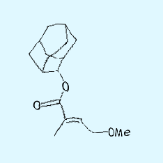 COCC=C(C)C(=O)OC1C2CC3CC(C2)CC1C3